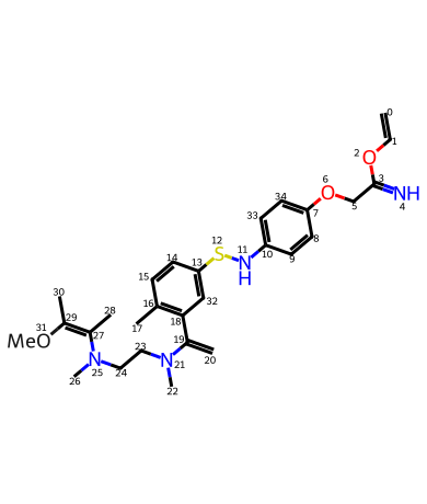 C=COC(=N)COc1ccc(NSc2ccc(C)c(C(=C)N(C)CCN(C)/C(C)=C(/C)OC)c2)cc1